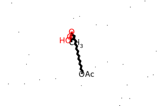 CC(=O)OCCCCCCCCCCCCCC1=CC(=O)OC1(C)O